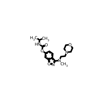 CC(C)NC(=O)Oc1ccc2c(N(C)CCN3CCOCC3)noc2c1